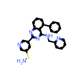 NSc1cncc(-c2nc(NCc3ccccn3)c3c(-c4ccccc4)cccc3n2)c1